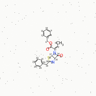 C[C]=C(C(=O)OCc1ccccc1)N1C(=O)C2N=C(Cc3ccccc3)SC21